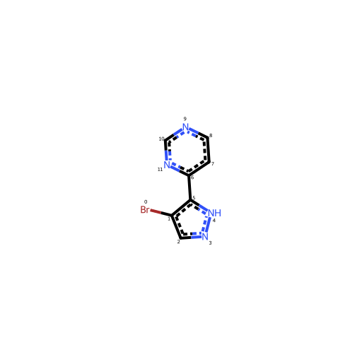 Brc1cn[nH]c1-c1ccncn1